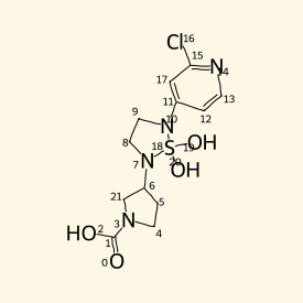 O=C(O)N1CCC(N2CCN(c3ccnc(Cl)c3)S2(O)O)C1